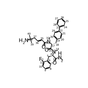 CNC(=O)[C@@H](Cc1ccccc1F)N(C)C(=O)[C@@H](Cc1ccc(-c2ccccc2)cc1)N(C)C(=O)/C=C/CC(C)(C)N